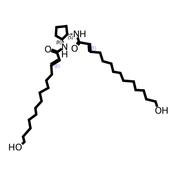 O=C(/C=C/CCCCCCCCCCCO)N[C@H]1CCC[C@H]1NC(=O)/C=C/CCCCCCCCCCCO